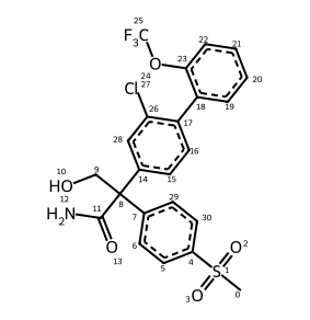 CS(=O)(=O)c1ccc(C(CO)(C(N)=O)c2ccc(-c3ccccc3OC(F)(F)F)c(Cl)c2)cc1